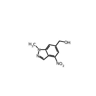 Cn1ncc2c([N+](=O)[O-])cc(CO)cc21